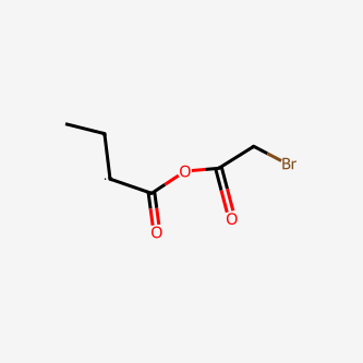 CC[CH]C(=O)OC(=O)CBr